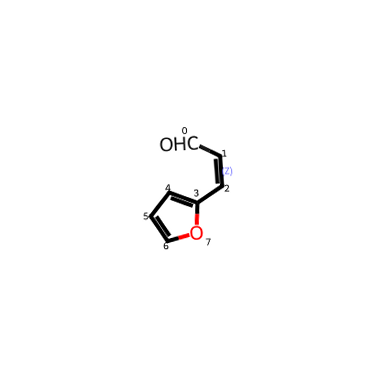 O=C/C=C\c1ccco1